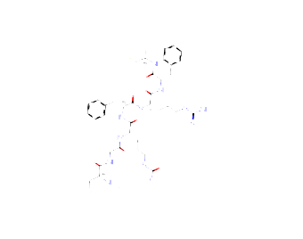 N=C(N)NCCC[C@H](NC(=O)[C@@H](Cc1ccccc1)NC(=O)[C@H](CCCNC(N)=O)NC(=O)CNC(=O)[C@@H](N)CS)C(=O)N[C@@H](Cc1ccccc1)C(=O)N[C@@H](CS)C(=O)O